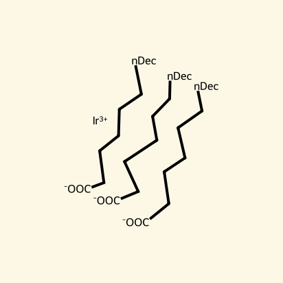 CCCCCCCCCCCCCCCC(=O)[O-].CCCCCCCCCCCCCCCC(=O)[O-].CCCCCCCCCCCCCCCC(=O)[O-].[Ir+3]